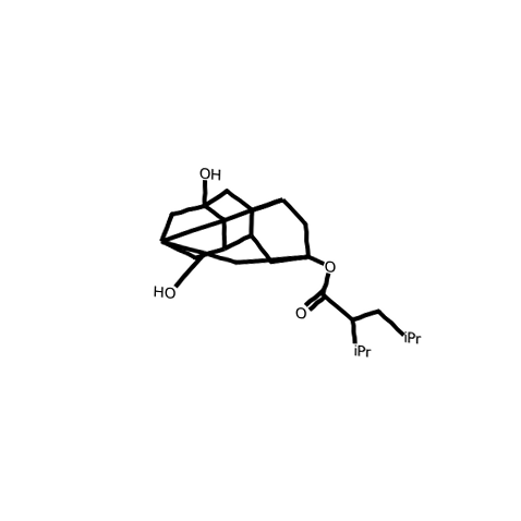 CC(C)CC(C(=O)OC12CC3C4CC5(O)CC3C(C1)C(C4)(C5)C(O)C2)C(C)C